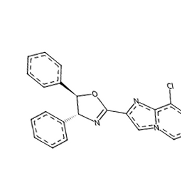 Clc1cccn2cc(C3=N[C@H](c4ccccc4)[C@@H](c4ccccc4)O3)nc12